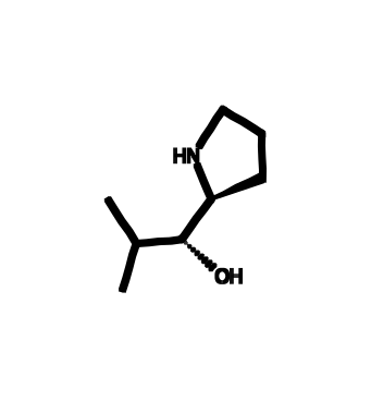 CC(C)[C@@H](O)[C@@H]1CCCN1